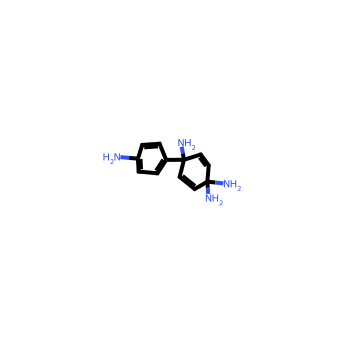 Nc1ccc(C2(N)C=CC(N)(N)C=C2)cc1